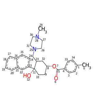 Cc1ccc(C(=O)OC2CCC(O)(c3ccc4ccccc4c3)C(CN3CCN(C)CC3)C2)cc1